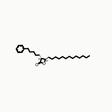 CCCCCCCCCCCCC[C@H]1OC(=O)[C@@H]1CCCCCc1ccccc1